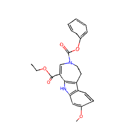 CCOC(=O)C1=CN(C(=O)Oc2ccccc2)CCc2c1[nH]c1cc(OC)ccc21